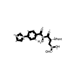 CCCCC[C@H](CN(O)C=O)C(=O)N(N)C(=O)c1ccc(-n2ccnc2)cc1